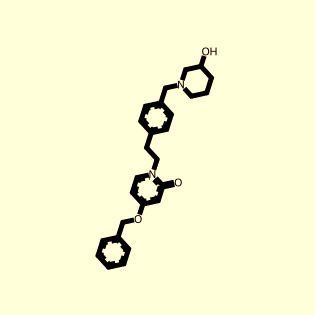 O=c1cc(OCc2ccccc2)ccn1CCc1ccc(CN2CCCC(O)C2)cc1